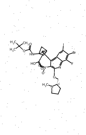 CN1CCC[C@H]1COc1nc2c(F)c(Br)c(I)cc2c(C2C3CC(NC(=O)OC(C)(C)C)(C3)N2C(=O)O)c1[N+](=O)[O-]